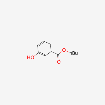 CCCCOC(=O)C1C=C(O)C=CC1